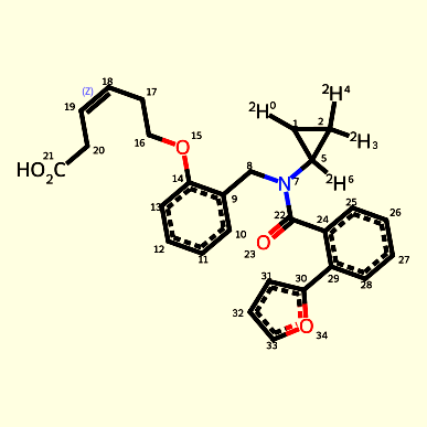 [2H]C1C([2H])([2H])C1([2H])N(Cc1ccccc1OCC/C=C\CC(=O)O)C(=O)c1ccccc1-c1ccco1